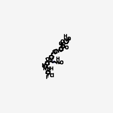 COc1cc2ncnc(Nc3ccc(F)c(Cl)c3)c2cc1C(/C=C/CNC=O)N1CCC(CN2CCN(c3ccc4c(c3)C(=O)N(C3CCC(=O)NC3=O)C4=O)CC2)CC1